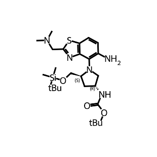 CN(C)Cc1nc2c(N3C[C@H](NC(=O)OC(C)(C)C)C[C@H]3CO[Si](C)(C)C(C)(C)C)c(N)ccc2s1